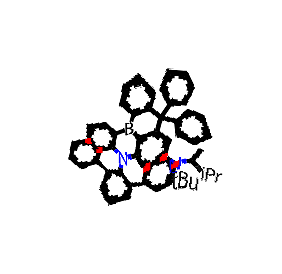 CC(C)C(C)N(c1cc2c3c(c1)C(c1ccccc1)(c1ccccc1)c1ccccc1B3c1ccccc1N2c1c(-c2ccccc2)cccc1-c1ccccc1)C(C)(C)C